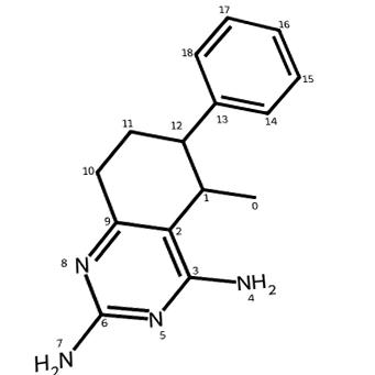 CC1c2c(N)nc(N)nc2CCC1c1ccccc1